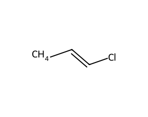 C.CC=CCl